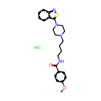 COc1ccc(C(=O)NCCCCN2CCN(c3snc4ccccc34)CC2)cc1.Cl